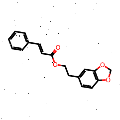 O=C(/C=C/c1ccccc1)OCCc1ccc2c(c1)OCO2